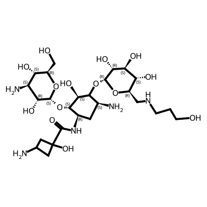 NC1CC(O)(C(=O)N[C@@H]2C[C@H](N)C(O[C@H]3O[C@H](CNCCCO)[C@@H](O)[C@H](O)[C@H]3O)[C@H](O)[C@H]2O[C@H]2O[C@H](CO)[C@@H](O)[C@H](N)[C@H]2O)C1